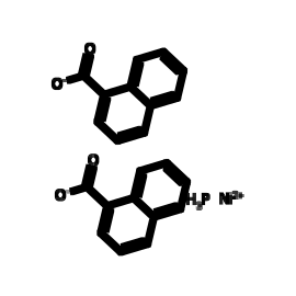 O=C([O-])c1cccc2ccccc12.O=C([O-])c1cccc2ccccc12.P.[Ni+2]